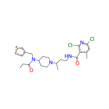 CCC(=O)N(Cc1ccsc1)C1CCN(C(C)CCNC(=O)c2c(C)cc(Cl)nc2Cl)CC1